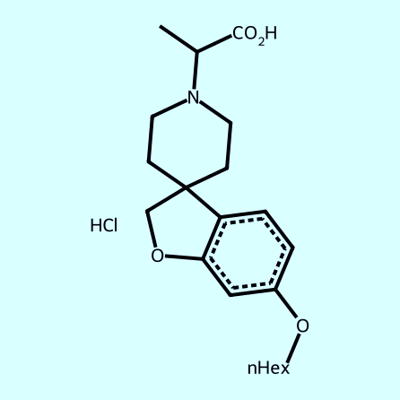 CCCCCCOc1ccc2c(c1)OCC21CCN(C(C)C(=O)O)CC1.Cl